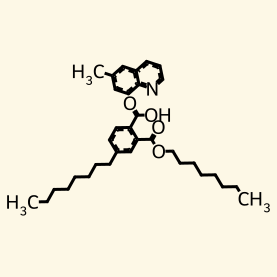 CCCCCCCCOC(=O)c1cc(CCCCCCCC)ccc1C(=O)O.Cc1ccc2ncccc2c1